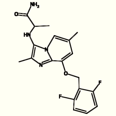 Cc1cc(OCc2c(F)cccc2F)c2nc(C)c(NC(C)C(N)=O)n2c1